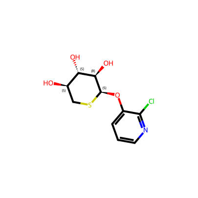 O[C@@H]1[C@@H](O)[C@@H](Oc2cccnc2Cl)SC[C@H]1O